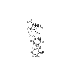 N[C@@H]1CCCC12CCN(c1cnc(Sc3cccc(F)c3F)cn1)CC2